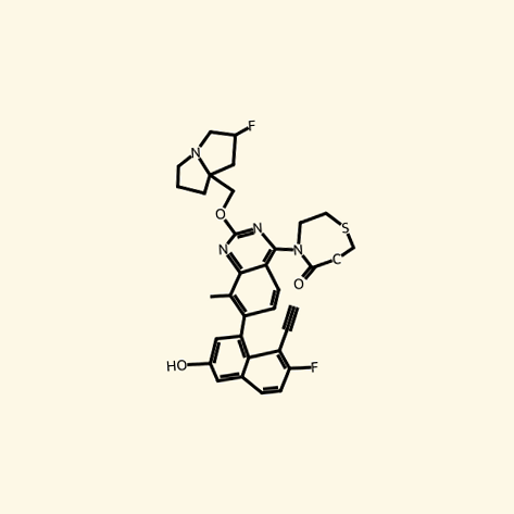 C#Cc1c(F)ccc2cc(O)cc(-c3ccc4c(N5CCSCCC5=O)nc(OCC56CCCN5CC(F)C6)nc4c3C)c12